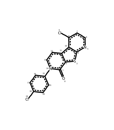 O=c1c2sc3nccc(Cl)c3c2ccn1-c1ccc(Cl)cc1